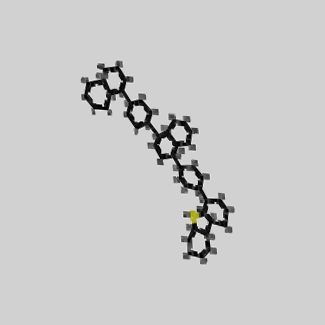 c1ccc2c(-c3ccc(-c4ccc(-c5ccc(-c6cccc7c6sc6ccccc67)cc5)c5ccccc45)cc3)cccc2c1